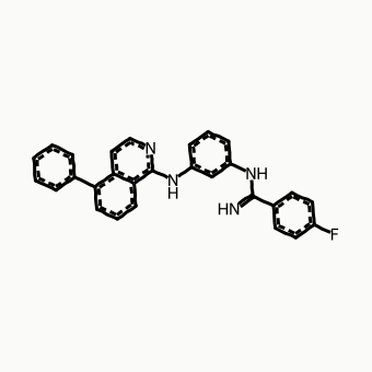 N=C(Nc1cccc(Nc2nccc3c(-c4ccccc4)cccc23)c1)c1ccc(F)cc1